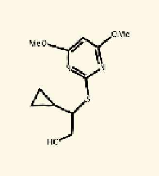 COc1cc(OC)nc(SC(CO)C2CC2)n1